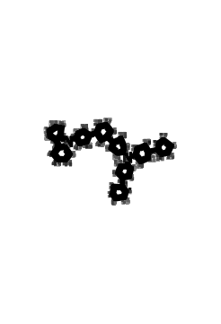 c1ccc(-c2ccc(N(c3ccc(-c4ccccc4)cc3)c3ccc(-c4cccc(-c5ccc(-n6c7ccccc7c7ccccc76)cc5)c4)cc3)cc2)cc1